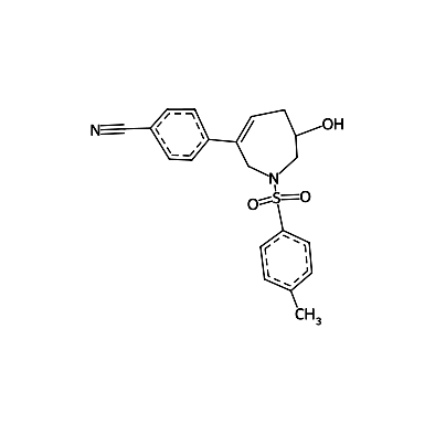 Cc1ccc(S(=O)(=O)N2CC(c3ccc(C#N)cc3)=CCC(O)C2)cc1